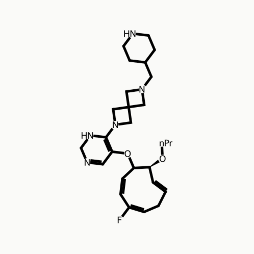 CCCO[C@H]1/C=C/C/C=C(F)\C=C/C1OC1=C(N2CC3(CN(CC4CCNCC4)C3)C2)NCN=C1